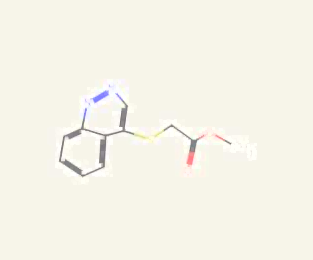 COC(=O)CSc1cnnc2ccccc12